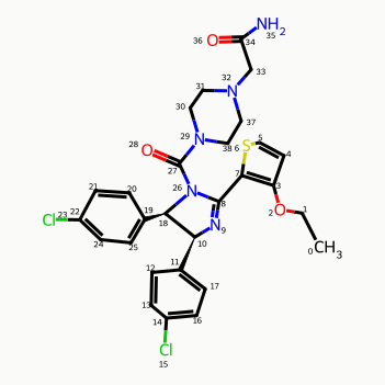 CCOc1ccsc1C1=N[C@@H](c2ccc(Cl)cc2)[C@@H](c2ccc(Cl)cc2)N1C(=O)N1CCN(CC(N)=O)CC1